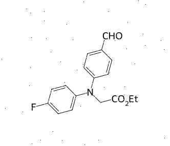 CCOC(=O)CN(c1ccc(F)cc1)c1ccc(C=O)cc1